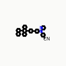 N#Cc1ccc(N(c2ccc(-c3ccc(-c4c5ccccc5c(-c5cccc6ccccc56)c5ccccc45)cc3)cc2)c2ccccn2)cc1